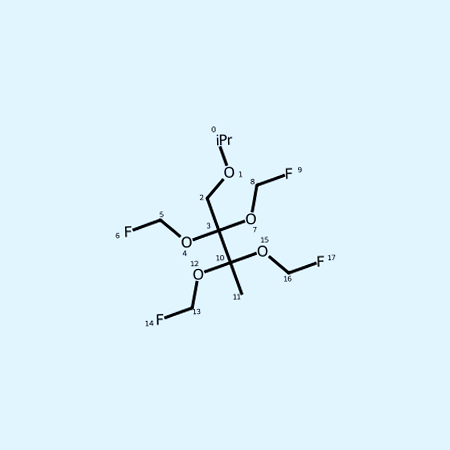 CC(C)OCC(OCF)(OCF)C(C)(OCF)OCF